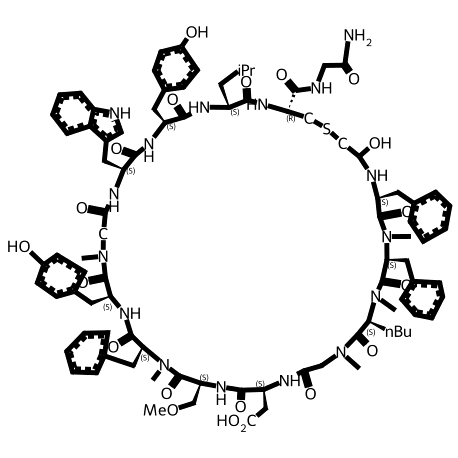 CCCC[C@H]1C(=O)N(C)CC(=O)N[C@@H](CC(=O)O)C(=O)N[C@@H](COC)C(=O)N(C)[C@@H](Cc2ccccc2)C(=O)N[C@@H](Cc2ccc(O)cc2)C(=O)N(C)CC(=O)N[C@@H](Cc2c[nH]c3ccccc23)C(=O)N[C@@H](Cc2ccc(O)cc2)C(=O)N[C@@H](CC(C)C)C(=O)N[C@H](C(=O)NCC(N)=O)CSCC(O)N[C@@H](Cc2ccccc2)C(=O)N(C)[C@@H](Cc2ccccc2)C(=O)N1C